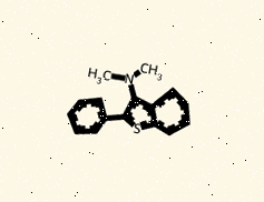 CN(C)c1c(-c2ccccc2)sc2ccccc12